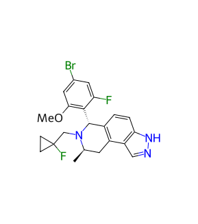 COc1cc(Br)cc(F)c1[C@@H]1c2ccc3[nH]ncc3c2C[C@@H](C)N1CC1(F)CC1